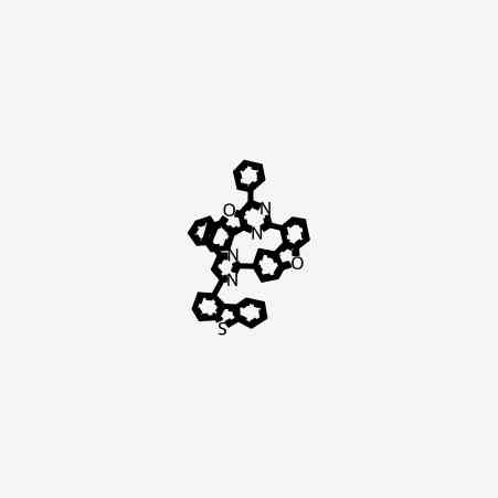 c1ccc(-c2cc(-c3cccc4sc5ccccc5c34)nc(-c3ccc4oc5cccc(-c6nc(-c7ccccc7)c7oc8ccccc8c7n6)c5c4c3)n2)cc1